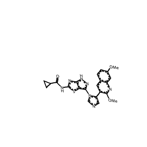 COc1ccc2cc(-c3cncn3-c3n[nH]c4nc(NC(=O)C5CC5)sc34)c(OC)nc2c1